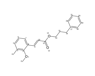 COc1c(C)cccc1/C=C/C(=O)OCCCc1ccccc1